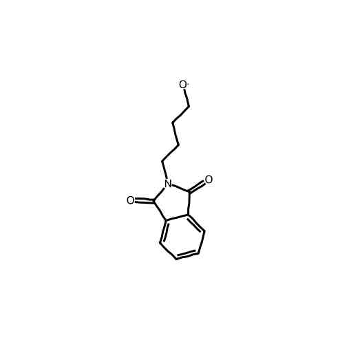 [O]CCCCN1C(=O)c2ccccc2C1=O